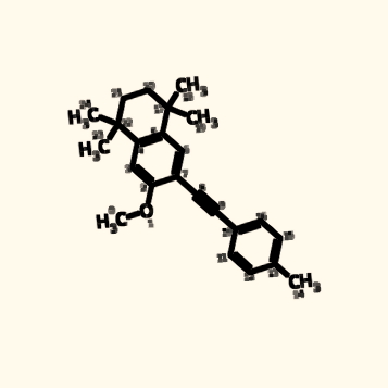 COc1cc2c(cc1C#Cc1ccc(C)cc1)C(C)(C)CCC2(C)C